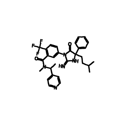 CC(C)CCC1(c2ccccc2)NC(=N)N(c2ccc(C(F)(F)F)c(C(=O)N(C)C(C)c3ccncc3)c2)C1=O